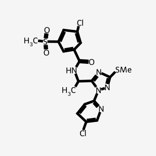 CSc1nc(C(C)NC(=O)c2cc(Cl)cc(S(C)(=O)=O)c2)n(-c2ccc(Cl)cn2)n1